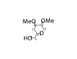 COC1COC(CO)CC1OC